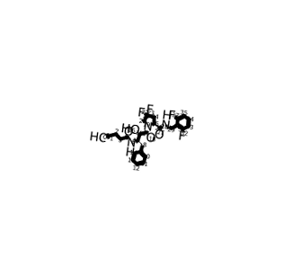 C#CCCC(=O)N[C@@H](Cc1ccccc1)[C@H](O)C(=O)N1CC(F)(F)C[C@H]1C(=O)NCc1c(F)cccc1F